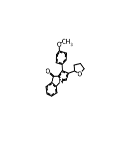 COc1ccc(-c2c(C3CCCO3)cn3c2C(=O)c2ccccc2-3)cc1